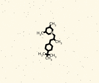 CC1CC(C)CN(CC(C)CC2CCC(C(C)(C)C)CC2)C1